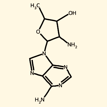 CC1OC(n2cnc3c(N)ncnc32)C(N)C1O